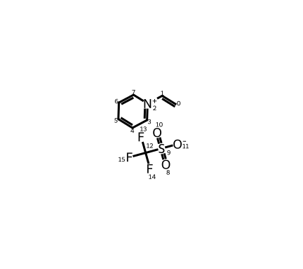 C=C[n+]1ccccc1.O=S(=O)([O-])C(F)(F)F